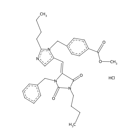 CCCCc1ncc(/C=C2/C(=O)N(CCCC)C(=O)N2Cc2ccccc2)n1Cc1ccc(C(=O)OC)cc1.Cl